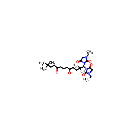 CCN1CC(=O)N(C(N2C(=O)CN(CC)C2=O)C(C)(C)CCC(=O)CCCC(=O)CCC(C)(C)C)C1=O